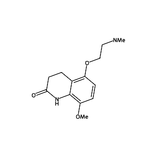 CNCCOc1ccc(OC)c2c1CCC(=O)N2